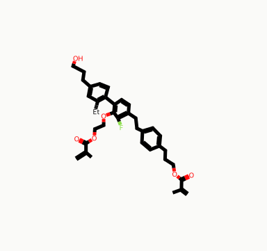 C=C(C)C(=O)OCCCc1ccc(CCc2ccc(-c3ccc(CCCO)cc3CC)c(OCCOC(=O)C(=C)C)c2F)cc1